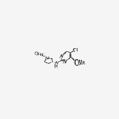 COc1nc(NC2CCN(C=O)C2)ncc1Cl